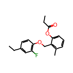 CCC(=O)Oc1cccc(C)c1COc1ccc(CC)cc1F